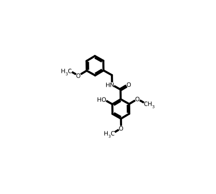 COc1cccc(CNC(=O)c2c(O)cc(OC)cc2OC)c1